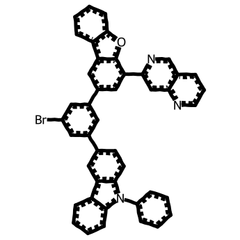 Brc1cc(-c2cc(-c3cc4ncccc4cn3)c3oc4ccccc4c3c2)cc(-c2ccc3c(c2)c2ccccc2n3-c2ccccc2)c1